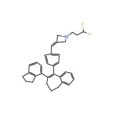 FC(F)CCN1CC(=Cc2ccc(C3=C(c4cccc5c4CCC5)CCCc4ccccc43)cc2)C1